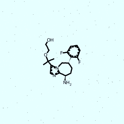 CC(C)(OCCO)c1cnc2n1C[C@H](c1c(F)cccc1F)CC[C@H]2N